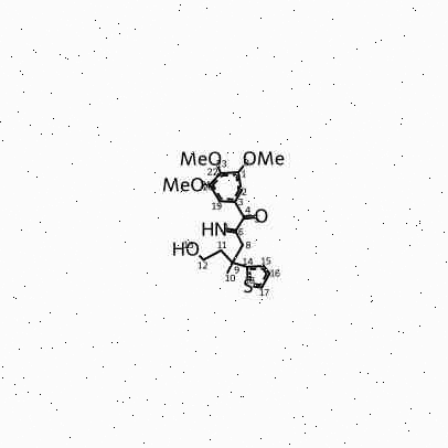 COc1cc(C(=O)C(=N)CC(C)(CCO)c2cccs2)cc(OC)c1OC